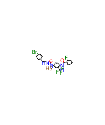 O=C(Nc1ccc(N(S)C(=O)NCCc2ccc(Br)cc2)cc1C(F)(F)F)c1ccccc1F